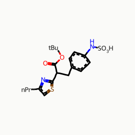 CCCc1csc(C(Cc2ccc(NS(=O)(=O)O)cc2)C(=O)OC(C)(C)C)n1